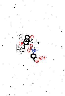 C=C[C@]1(C)C[C@@H](OC(=O)Nc2ccc3c(c2)B(O)OC3)[C@]2(C)[C@H](C)CC[C@]3(CCC(=O)[C@H]32)[C@@H](C)C1=O